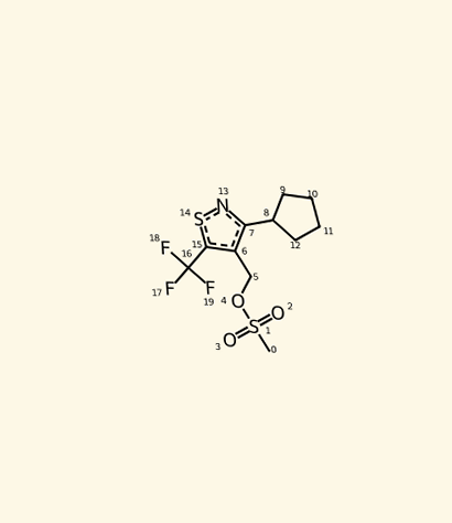 CS(=O)(=O)OCc1c(C2CCCC2)nsc1C(F)(F)F